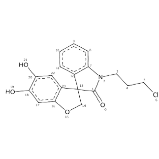 O=C1N(CCCCl)c2ccccc2C12COc1cc(O)c(O)cc12